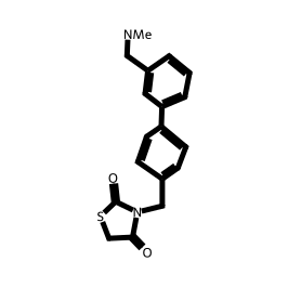 CNCc1cccc(-c2ccc(CN3C(=O)CSC3=O)cc2)c1